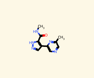 CNC(=O)c1[nH]ncc1-c1cncc(C)n1